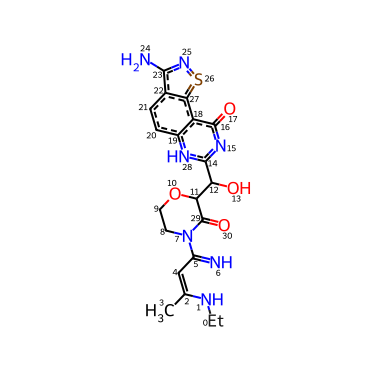 CCN/C(C)=C\C(=N)N1CCOC(C(O)c2nc(=O)c3c(ccc4c(N)nsc43)[nH]2)C1=O